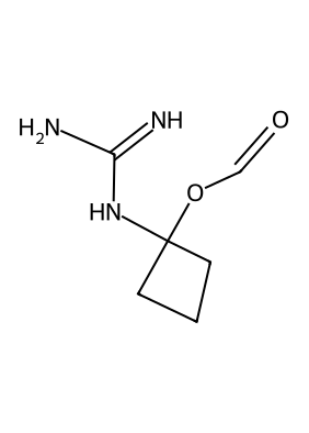 N=C(N)NC1(OC=O)CCC1